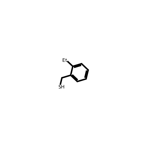 [CH2]Cc1ccccc1CS